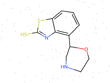 Sc1nc2c(C3CNCCO3)cccc2s1